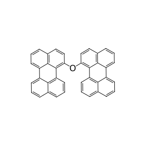 c1cc2cccc3c4c(Oc5ccc6cccc7c8cccc9cccc(c5c67)c98)ccc5cccc(c(c1)c23)c54